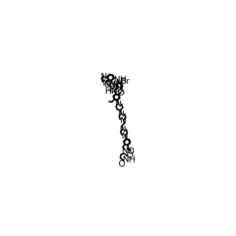 CCc1cc(Nc2ncc(Br)c(Nc3ccc4nccnc4c3NS(C)(=O)=O)n2)c(OC)cc1N1CCC(N2CCN(CCN3CCN(c4ccc5c(c4)CN(C4CCC(=O)NC4=O)C5=O)CC3)CC2)CC1